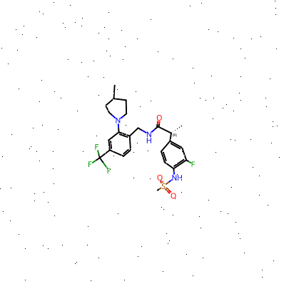 CC1CCN(c2cc(C(F)(F)F)ccc2CNC(=O)[C@H](C)c2ccc(NS(C)(=O)=O)c(F)c2)CC1